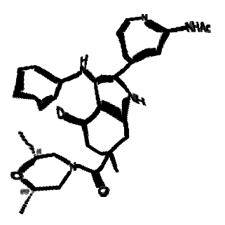 CC(=O)Nc1cc(-c2[nH]c3c(c2Nc2ccccc2)C(=O)CC(C)(C(=O)N2C[C@@H](C)O[C@@H](C)C2)C3)ccn1